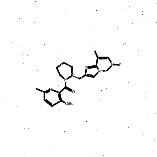 CC1=CN(F)C[N+]2C=C(C[C@@H]3CCCCN3C(=O)c3nc(C)ccc3OCC(C)C)N=C12